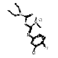 CCN(CC)C(=S)S/C(=N/c1ccc(Cl)c(Cl)c1)N(C)C.Cl